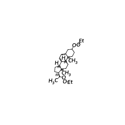 CCOOC1CC[C@]2(C)C(=CC=C3[C@H]2CC[C@]2(C)[C@@H](C(C)OOCC)CC[C@@H]32)C1